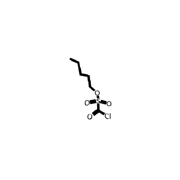 CCCCCOS(=O)(=O)C(=O)Cl